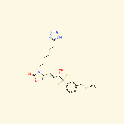 COCc1cccc(C(F)(F)C(O)/C=C/C2COC(=O)N2CCCCCCc2nnn[nH]2)c1